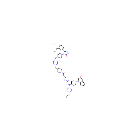 CCCc1cc(-c2nnc(O)n2-c2ccc(CN3CCN(CC4CCN(C(=O)CCNc5nc6c(c(N7CCN(C(=O)CC)CC7)n5)CCN(c5cc(O)cc7ccccc57)C6)CC4)CC3)cc2)c(O)cc1O